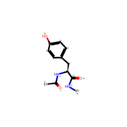 CCC(=O)N[C@@H](Cc1ccc(O)cc1)C(=O)NC(C)C